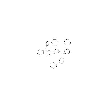 c1ccc(-c2cccc(N(c3cccc(-c4ccccc4)c3)c3ccc4c(c3)-c3ccccc3C43c4ccccc4-n4c5ccccc5c5cccc3c54)c2)cc1